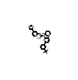 OC(Nc1cc(-c2cnco2)ccn1)N1c2nc(-c3cccc(C(F)(F)F)c3)ccc2N2CCC[C@H]1C2